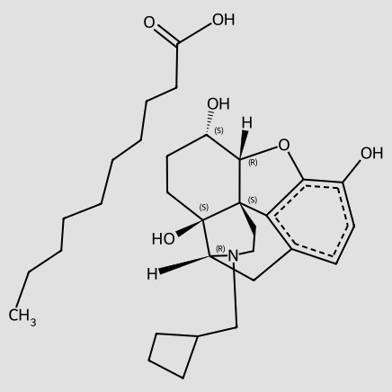 CCCCCCCCCC(=O)O.Oc1ccc2c3c1O[C@H]1[C@@H](O)CC[C@@]4(O)[C@@H](C2)N(CC2CCC2)CC[C@]314